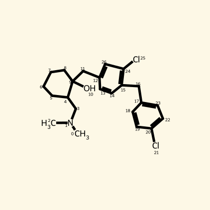 CN(C)CC1CCCCC1(O)Cc1ccc(Cc2ccc(Cl)cc2)c(Cl)c1